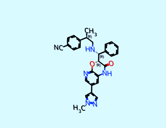 C[C@@H](CN[C@H](c1ccccc1)[C@H]1Oc2ncc(-c3cnn(C)c3)cc2NC1=O)c1ccc(C#N)cc1